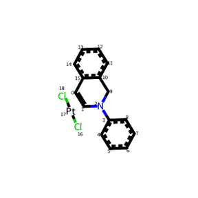 C1=CN(c2ccccc2)Cc2ccccc21.[Cl][Pt][Cl]